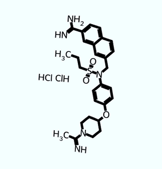 CCCS(=O)(=O)N(Cc1ccc2ccc(C(=N)N)cc2c1)c1ccc(OC2CCN(C(C)=N)CC2)cc1.Cl.Cl